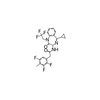 Cc1c(F)cc(CC(=O)NC2N=C(C3CC3)c3ccccc3N(CC(F)(F)F)C2=O)c(F)c1F